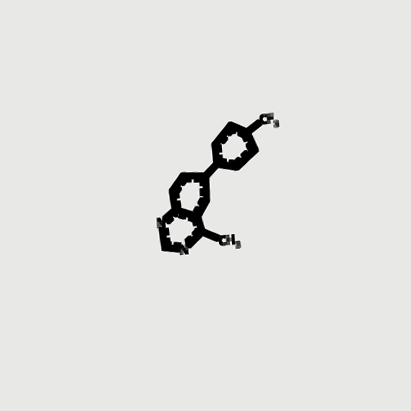 Cc1ncnc2ccc(-c3ccc(C(F)(F)F)cc3)cc12